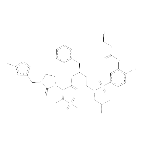 Cc1nc(CN2CCN([C@@H](C(=O)N[C@@H](Cc3ccccc3)[C@H](O)CN(CC(C)C)S(=O)(=O)c3ccc(O)c(NC(=O)CCN)c3)C(C)S(C)(=O)=O)C2=O)cs1